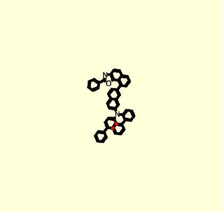 c1ccc(-c2ccc(N(c3ccc4ccc(-c5cccc6ccc7nc(-c8ccccc8)oc7c56)cc4c3)c3ccccc3-c3ccccc3)cc2)cc1